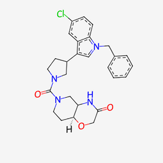 O=C1CO[C@H]2CCN(C(=O)N3CCC(c4cn(Cc5ccccc5)c5ccc(Cl)cc45)C3)CC2N1